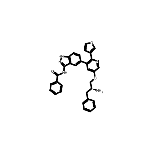 N[C@H](COc1cnc(-c2ccoc2)c(-c2ccc3[nH]nc(NC(=O)c4ccccc4)c3c2)c1)Cc1ccccc1